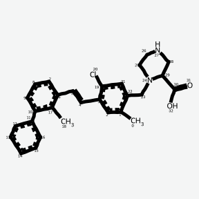 Cc1cc(/C=C/c2cccc(-c3ccccc3)c2C)c(Cl)cc1CN1CCNCC1C(=O)O